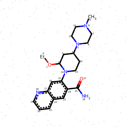 CCOC1CC(N2CCN(C)CC2)CCN1c1cc2ncccc2cc1C(N)=O